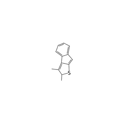 CC1=C2C(=Cc3ccccc32)SC1C